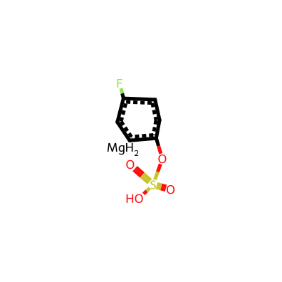 O=S(=O)(O)Oc1ccc(F)cc1.[MgH2]